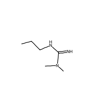 CCCNC(=N)N(C)C